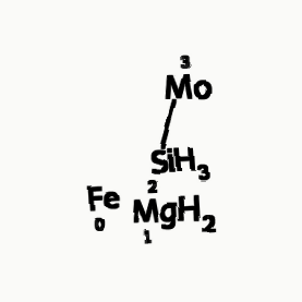 [Fe].[MgH2].[SiH3][Mo]